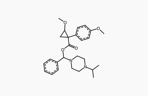 COc1ccc(C2(C(=O)OC(c3ccccc3)N3CCN(C(C)C)CC3)CC2OC)cc1